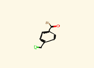 O=C(Br)c1ccc(CCl)cc1